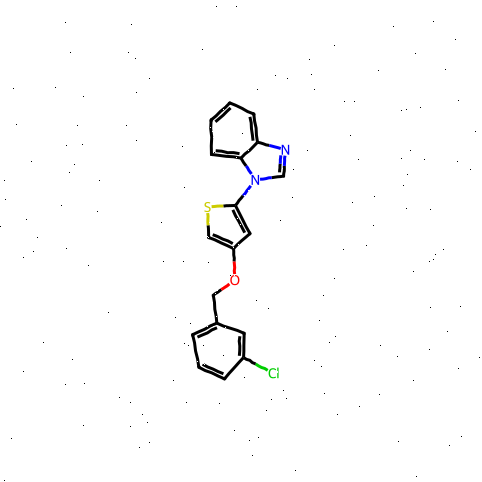 Clc1cccc(COc2csc(-n3cnc4ccccc43)c2)c1